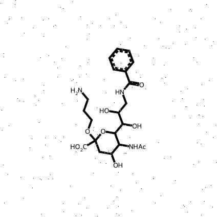 CC(=O)NC1C(O)CC(OCCCN)(C(=O)O)OC1C(O)C(O)CNC(=O)c1ccccc1